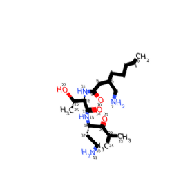 CCCCCC(CN)CC(=O)N[C@H](C(=O)N[C@@H](CCN)C(=O)C(C)C)[C@H](C)O